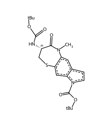 CN1C(=O)[C@@H](NC(=O)OC(C)(C)C)CSc2cc3c(ccn3C(=O)OC(C)(C)C)cc21